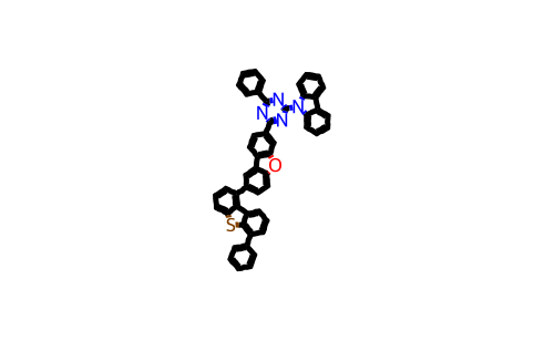 c1ccc(-c2nc(-c3ccc4c(c3)oc3ccc(-c5cccc6sc7c(-c8ccccc8)cccc7c56)cc34)nc(-n3c4ccccc4c4ccccc43)n2)cc1